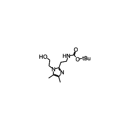 Cc1nc(CCNC(=O)OC(C)(C)C)n(CCO)c1C